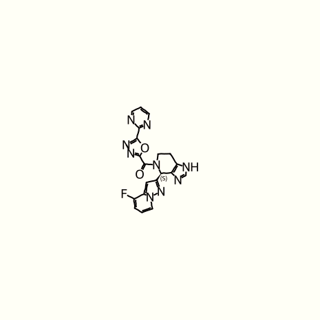 O=C(c1nnc(-c2ncccn2)o1)N1CCc2[nH]cnc2[C@H]1c1cc2c(F)cccn2n1